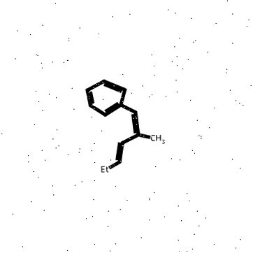 CCC=CC(C)=Cc1ccccc1